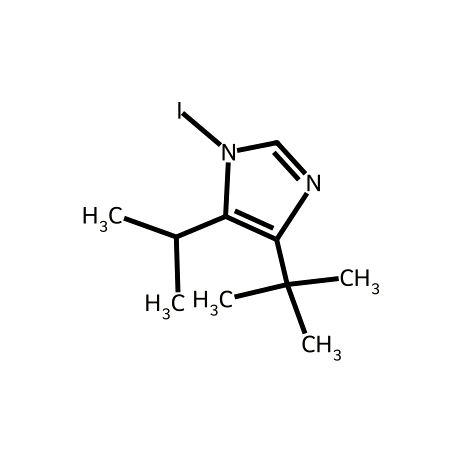 CC(C)c1c(C(C)(C)C)ncn1I